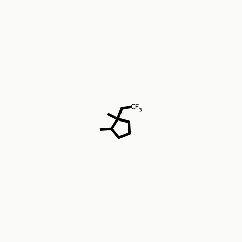 CC1CCCC1(C)CC(F)(F)F